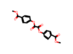 COC(=O)c1ccc(OC(=O)C(=O)Oc2ccc(C(=O)OC)cc2)cc1